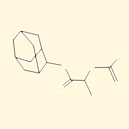 CCC(C)C(=O)OC(C)C(=O)OC1C2CC3CC(C2)CC1C3